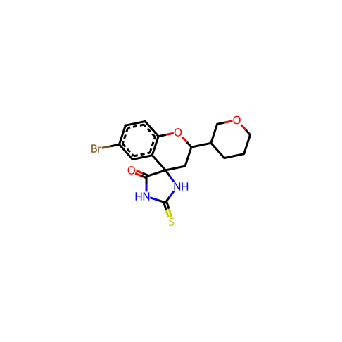 O=C1NC(=S)NC12CC(C1CCCOC1)Oc1ccc(Br)cc12